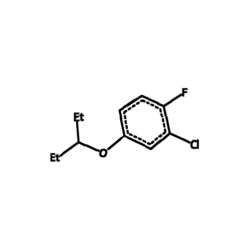 CCC(CC)Oc1ccc(F)c(Cl)c1